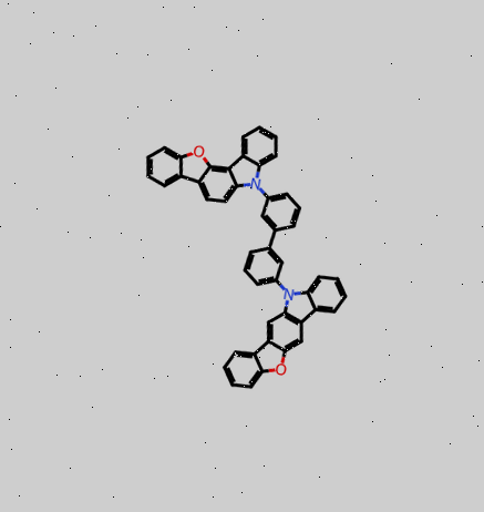 c1cc(-c2cccc(-n3c4ccccc4c4c5oc6ccccc6c5ccc43)c2)cc(-n2c3ccccc3c3cc4oc5ccccc5c4cc32)c1